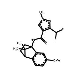 COc1ccc2c(c1)C1(NC(=O)c3cn(C)nc3C(F)F)CCC2C1(C)C